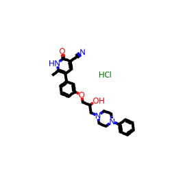 Cc1[nH]c(=O)c(C#N)cc1-c1cccc(OCC(O)CN2CCN(c3ccccc3)CC2)c1.Cl